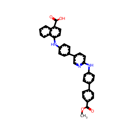 COC(=O)c1ccc(-c2ccc(Nc3ccc(-c4ccc(Nc5ccc(C(=O)O)c6ccccc56)cc4)cn3)cc2)cc1